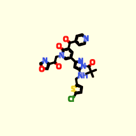 CC(C)(C)C(=O)n1nc(-c2cc(C(=O)c3ccncc3)c(=O)n(CC(=O)c3cocn3)c2)cc1NCc1ccc(Cl)s1